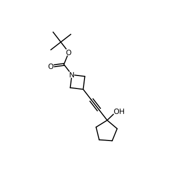 CC(C)(C)OC(=O)N1CC(C#CC2(O)CCCC2)C1